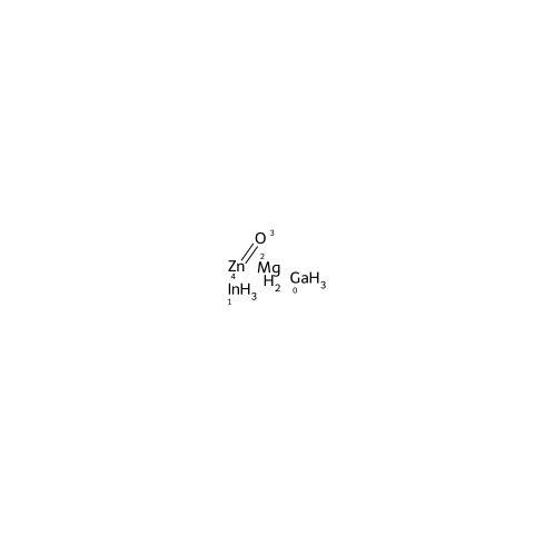 [GaH3].[InH3].[MgH2].[O]=[Zn]